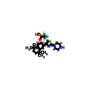 CC1(C)CCC(C)(C)c2cc(-c3csc(N4CCNCC4)n3)ccc21.O=C(O)C(F)(F)F